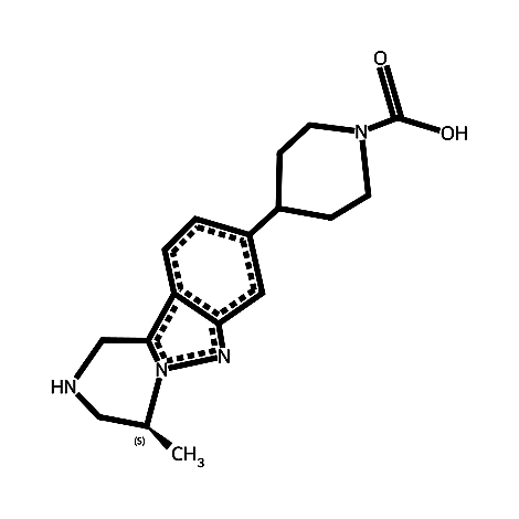 C[C@H]1CNCc2c3ccc(C4CCN(C(=O)O)CC4)cc3nn21